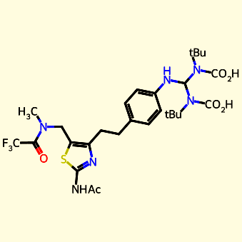 CC(=O)Nc1nc(CCc2ccc(NC(N(C(=O)O)C(C)(C)C)N(C(=O)O)C(C)(C)C)cc2)c(CN(C)C(=O)C(F)(F)F)s1